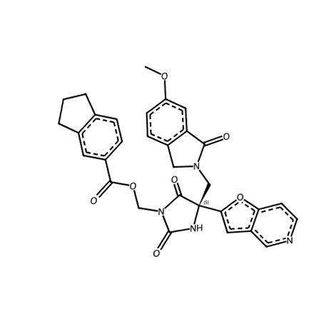 COc1ccc2c(c1)C(=O)N(C[C@@]1(c3cc4cnccc4o3)NC(=O)N(COC(=O)c3ccc4c(c3)CCC4)C1=O)C2